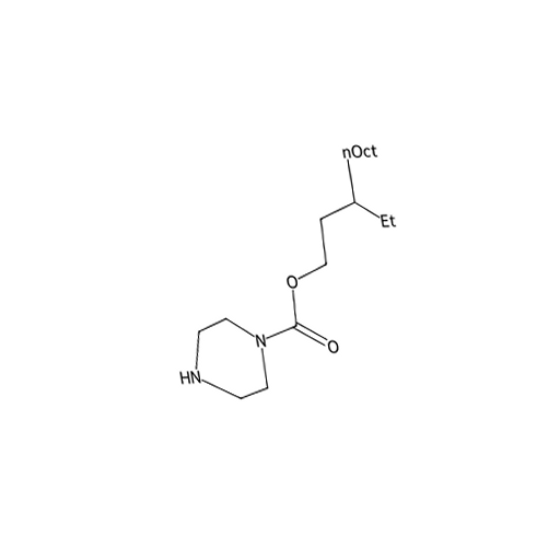 CCCCCCCCC(CC)CCOC(=O)N1CCNCC1